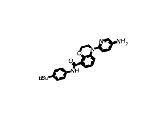 CC(C)(C)c1ccc(NC(=O)c2cccc3c2OCCN3c2ccc(N)cn2)cc1